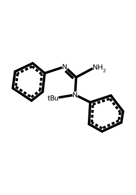 CC(C)(C)N(C(N)=Nc1ccccc1)c1ccccc1